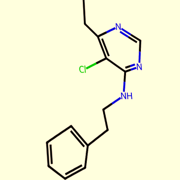 CCc1ncnc(NCCc2ccccc2)c1Cl